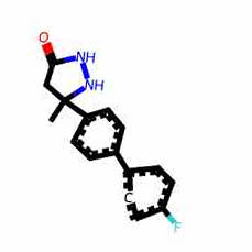 CC1(c2ccc(-c3ccc(F)cc3)cc2)CC(=O)NN1